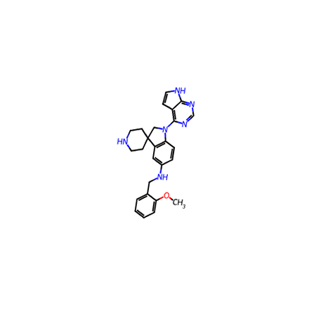 COc1ccccc1CNc1ccc2c(c1)C1(CCNCC1)CN2c1ncnc2[nH]ccc12